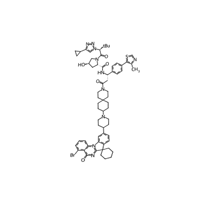 Cc1ncsc1-c1ccc([C@H](CC(=O)N2CCC3(CCC(N4CCC(c5ccc6c(c5)-n5c(nc(=O)c7c(Br)cccc75)C65CCCCC5)CC4)CC3)CC2)NC(=O)[C@@H]2C[C@@H](O)CN2C(=O)[C@@H](n2cc(C3CC3)nn2)C(C)(C)C)cc1